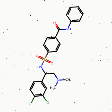 CN(C)CC(NS(=O)(=O)c1ccc(C(=O)Nc2ccccc2)cc1)c1ccc(Cl)c(Cl)c1